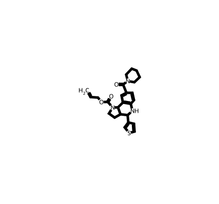 C=CCOC(=O)N1CCC2C(c3ccsc3)Nc3ccc(C(=O)N4CCCCC4)cc3C21